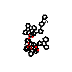 c1cc(-c2ccc(N(c3ccc4c5ccccc5c5ccccc5c4c3)c3cccc4c3C3(c5ccccc5-c5ccc(-c6ccc7oc8ccc(-c9ccccc9N(c9ccc%10c%11ccccc%11c%11ccccc%11c%10c9)c9cccc%10c9C9(c%11ccccc%11-c%11ccccc%119)c9ccccc9-%10)cc8c7c6)cc53)c3ccccc3-4)cc2)cc(-c2ccc3c(c2)oc2ccccc23)c1